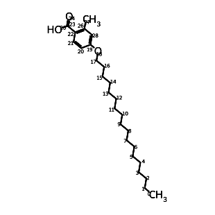 CCCCCCCCCCCCCCCCCCOc1ccc(C(=O)O)c(C)c1